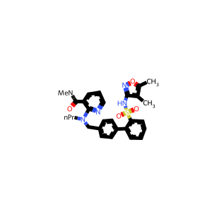 CCCN(Cc1ccc(-c2ccccc2S(=O)(=O)Nc2noc(C)c2C)cc1)c1ncccc1C(=O)NC